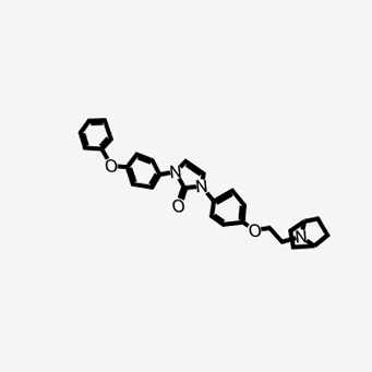 O=c1n(-c2ccc(OCCN3C4CCC3CC4)cc2)ccn1-c1ccc(Oc2ccccc2)cc1